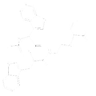 CC(=O)NC(C(=O)NC(Cc1c[nH]c2ccccc12)C(=O)NCCNC(CS)C(=O)O)c1c[nH]c2ccccc12